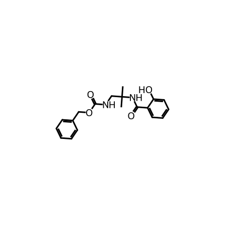 CC(C)(CNC(=O)OCc1ccccc1)NC(=O)c1ccccc1O